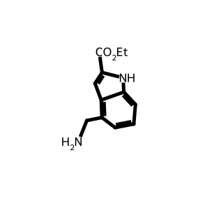 CCOC(=O)c1cc2c(CN)cccc2[nH]1